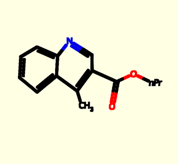 CCCOC(=O)c1cnc2ccccc2c1C